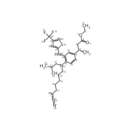 CCOC(=O)C[C@@H](C)c1ccc(N(CCCCCN=[N+]=[N-])CC(C)C)c(Nc2nc(C(F)(F)F)ns2)c1